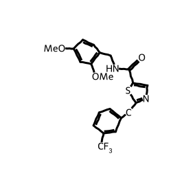 COc1ccc(CNC(=O)c2cnc(Cc3cccc(C(F)(F)F)c3)s2)c(OC)c1